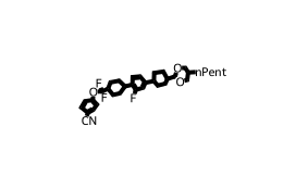 CCCCCC1COC(C2CCC(c3ccc(C4CCC(C(F)(F)Oc5ccc(C#N)cc5)CC4)c(F)c3)CC2)OC1